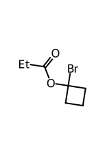 CCC(=O)OC1(Br)CCC1